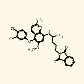 COc1cc(NC(C)CCCN2C(=O)c3ccccc3C2=O)c2nc(C)ccc2c1Oc1ccc(Cl)c(Cl)c1